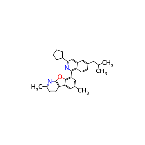 Cc1cc(-c2nc(C3CCCC3)cc3cc(CC(C)C)ccc23)c2oc3nc(C)ccc3c2c1